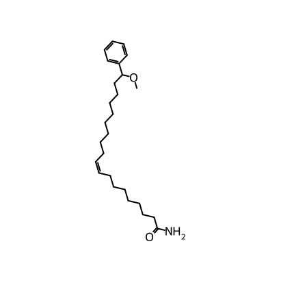 COC(CCCCCCCC/C=C\CCCCCCCC(N)=O)c1ccccc1